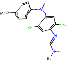 CCN(C)C=Nc1cc(Cl)c(N(C)c2ccc(OC)cc2)cc1Cl